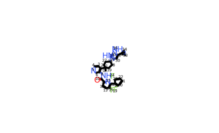 CC1(c2ccncc2NC(=O)c2ccc(F)c(-c3c(F)cccc3F)n2)CCC(N2C=C(C3CC3)N(N)N2)CC1